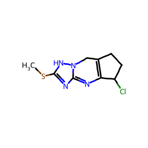 CSC1=NC2=NC3=C(CCC3Cl)CN2N1